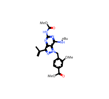 C=C(C)c1nn(Cc2ccc(C(=O)OC)cc2OC)c2c(NCCCC)nc(NC(=O)OC)nc12